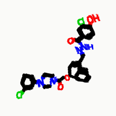 O=C(N/N=C/c1ccc(OCC(=O)N2CCN(c3cccc(Cl)c3)CC2)c2ccccc12)c1ccc(O)c(Cl)c1